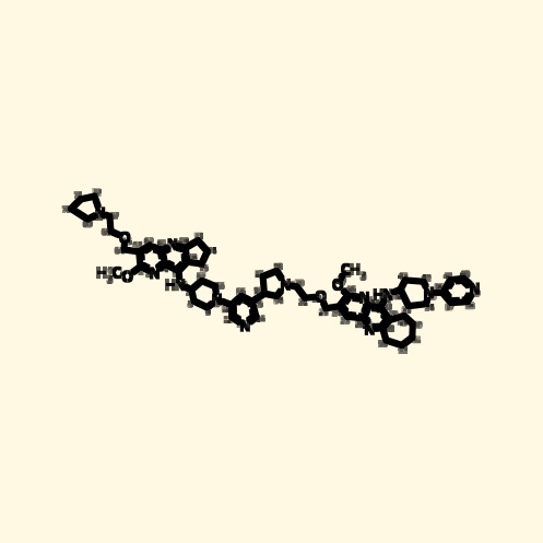 COc1nc2c(NC3CCN(c4cncc(C5CCN(CCOCc6cc7nc8c(c(NC9CCN(c%10ccncc%10)CC9)c7nc6OC)CCCCC8)C5)c4)CC3)c3c(nc2cc1COCCN1CCCC1)CCC3